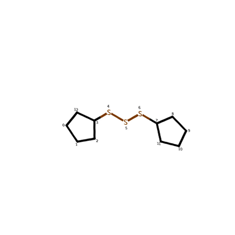 C1CCC(SSSC2CCCC2)C1